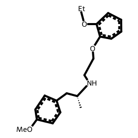 CCOc1ccccc1OCCN[C@H](C)Cc1ccc(OC)cc1